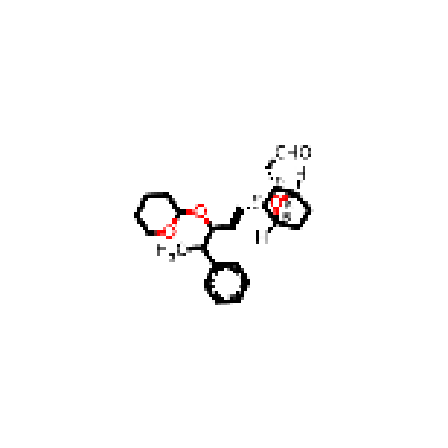 CC(c1ccccc1)C(C=C[C@@H]1[C@H](CC=O)[C@@H]2CC[C@H]1O2)OC1CCCCO1